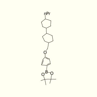 CCCC1CCC(C2CCC(COc3ccc(B4OC(C)(C)C(C)(C)O4)cc3)CC2)CC1